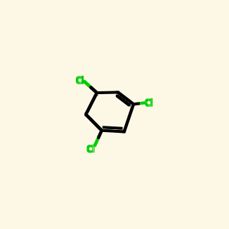 Cl[C]1C=C(Cl)C=C(Cl)C1